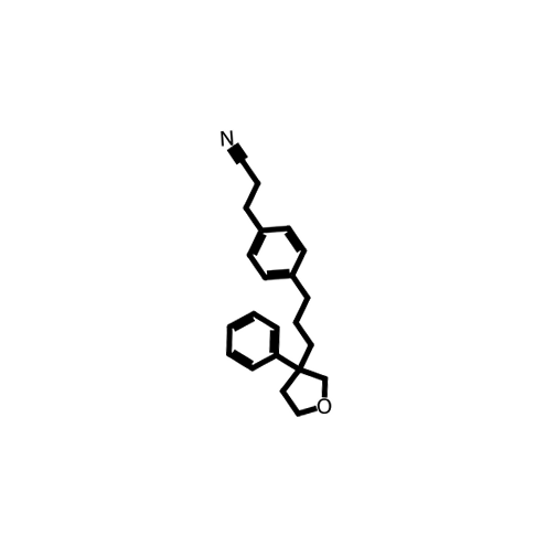 N#CCCc1ccc(CCCC2(c3ccccc3)CCOC2)cc1